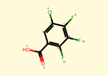 O=C(O)c1cc(Cl)c(F)c(F)c1F